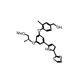 COC[C@H](C)Oc1cc(Oc2ccc(CO)cc2C)cc(C2=CCC(c3nccs3)N2)c1